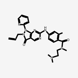 C=CCn1c(=O)c2cnc(Nc3ccc(C(=O)N(C)CCN(C)C)c(C)c3)nc2n1-c1ccccn1